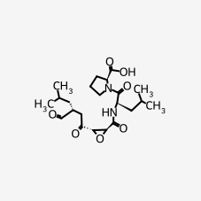 CC(C)C[C@@H](C=O)CC(=O)[C@H]1O[C@@H]1C(=O)N[C@H](CC(C)C)C(=O)N1CCC[C@H]1C(=O)O